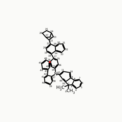 CC1(C)c2ccccc2-c2ccc(N(c3ccc(-c4ccc(C5CC6CCC5C6)c5ccccc45)cc3)c3ccccc3-c3ccccc3)cc21